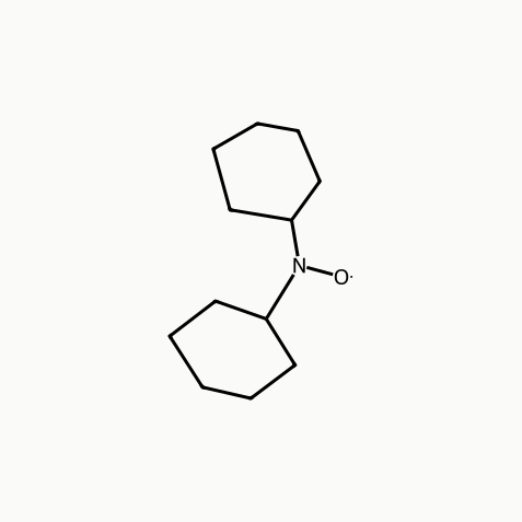 [O]N(C1CCCCC1)C1CCCCC1